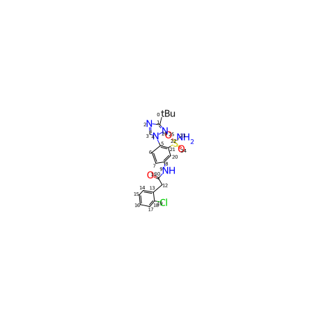 CC(C)(C)c1ncn(-c2ccc(NC(=O)Cc3ccccc3Cl)cc2S(N)(=O)=O)n1